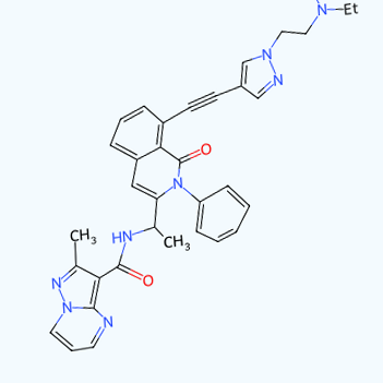 CCN(CC)CCn1cc(C#Cc2cccc3cc(C(C)NC(=O)c4c(C)nn5cccnc45)n(-c4ccccc4)c(=O)c23)cn1